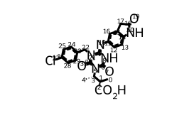 C[C@@H](C(=O)O)[C@H](C)n1c(=O)[nH]/c(=N\c2ccc3c(c2)CC(=O)N3)n(Cc2ccc(Cl)cc2)c1=O